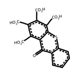 O=C(O)c1c(C(=O)O)c(C(=O)O)c2c(=O)c3ccccc3sc2c1C(=O)O